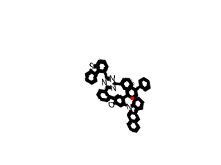 c1ccc(-c2ccc(-c3cc4c(cc3-n3c5ccccc5c5cc6ccccc6cc53)oc3cccc(-c5nc(-c6ccccc6)nc(-c6cccc7sc8ccccc8c67)n5)c34)cc2)cc1